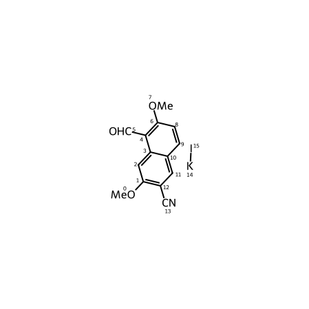 COc1cc2c(C=O)c(OC)ccc2cc1C#N.[K][I]